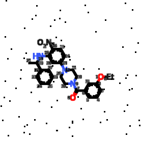 CCOc1cccc(C(=O)N2CCN(c3ccc([N+](=O)[O-])c(NC(C)c4ccccc4)c3)CC2)c1